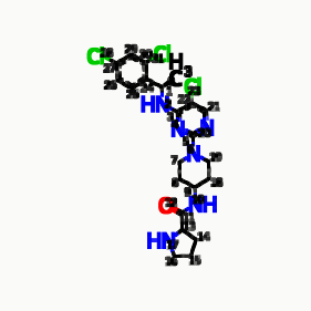 C[C@@H](Nc1nc(N2CCC(NC(=O)C3CCCN3)CC2)ncc1Cl)c1ccc(Cl)cc1Cl